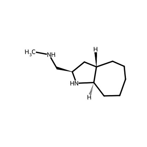 CNC[C@H]1C[C@@H]2CCCCC[C@H]2N1